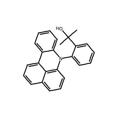 CC(C)(O)c1ccccc1N1c2ccccc2-c2cccc3cccc1c23